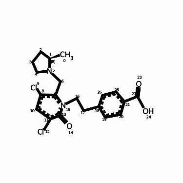 C[C@@H]1CCCN1Cc1c(Cl)cc(Cl)c(=O)n1CCc1ccc(C(=O)O)cc1